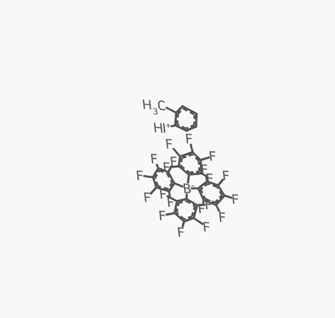 Cc1ccccc1[IH+].Fc1c(F)c(F)c([B-](c2c(F)c(F)c(F)c(F)c2F)(c2c(F)c(F)c(F)c(F)c2F)c2c(F)c(F)c(F)c(F)c2F)c(F)c1F